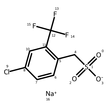 O=S(=O)([O-])Cc1ccc(Cl)cc1C(F)(F)F.[Na+]